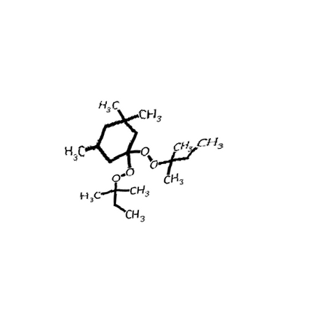 CCC(C)(C)OOC1(OOC(C)(C)CC)CC(C)CC(C)(C)C1